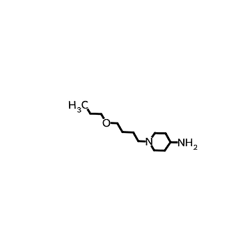 CCCOCCCCN1CCC(N)CC1